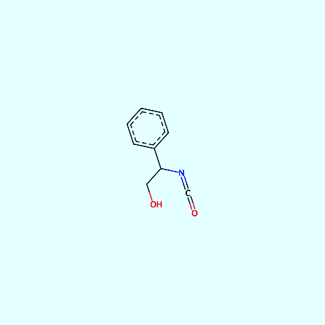 O=C=NC(CO)c1ccccc1